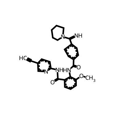 C#Cc1ccc(NC(=O)c2cccc(OC)c2NC(=O)c2ccc(C(=N)N3CCCCC3)cc2)nc1